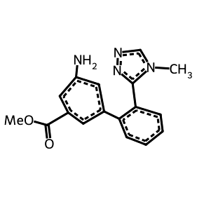 COC(=O)c1cc(N)cc(-c2ccccc2-c2nncn2C)c1